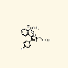 NS(=O)(=O)c1ccccc1-c1oc(CCO)nc1-c1ccc(F)cc1